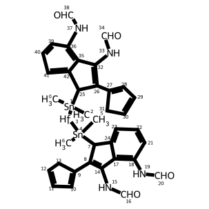 [CH3][Sn]([CH3])([Hf][Sn]([CH3])([CH3])[CH]1C(C2=CC=CC2)=C(NC=O)c2c(NC=O)cccc21)[CH]1C(C2=CC=CC2)=C(NC=O)c2c(NC=O)cccc21